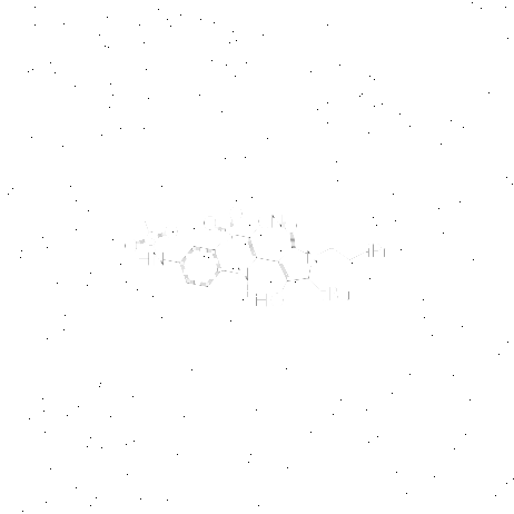 CC(C)CCN1C(=O)C(C2=C(C#N)S(=O)(=O)c3cc(NS(C)(=O)=O)ccc3N2)=C(O)C1C(C)(C)C